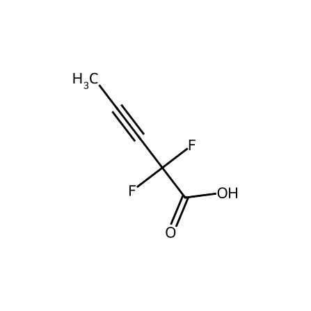 CC#CC(F)(F)C(=O)O